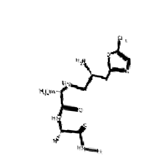 CCNC(=O)[C@@H](NC(=O)[C@H](C)NC[C@@H](N)Cc1ncc(C)o1)C(C)C